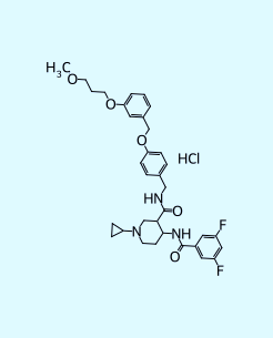 COCCCOc1cccc(COc2ccc(CNC(=O)C3CN(C4CC4)CCC3NC(=O)c3cc(F)cc(F)c3)cc2)c1.Cl